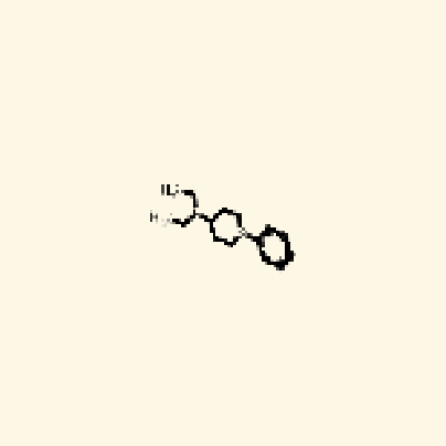 CCN(CC)C1CCN(c2cc[c]cc2)CC1